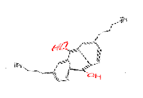 CC(C)CCCc1ccc2c(O)c3ccc(CCCC(C)C)cc3c(O)c2c1